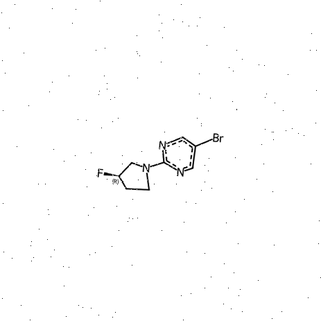 F[C@@H]1CCN(c2ncc(Br)cn2)C1